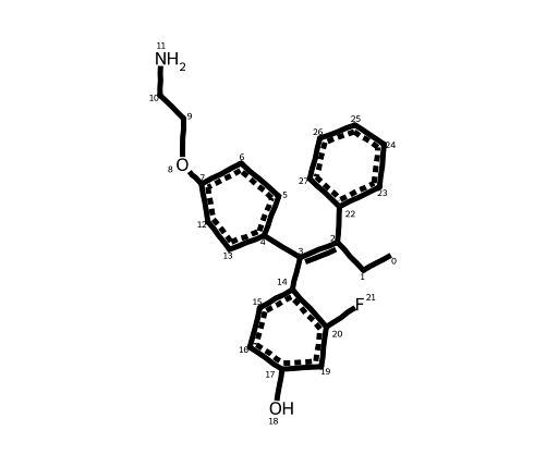 CC/C(=C(/c1ccc(OCCN)cc1)c1ccc(O)cc1F)c1ccccc1